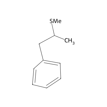 CSC(C)Cc1ccccc1